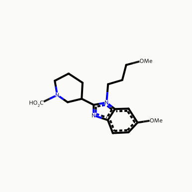 COCCCn1c(C2CCCN(C(=O)O)C2)nc2ccc(OC)cc21